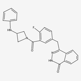 O=C(c1cc(Cc2n[nH]c(=O)c3ccccc23)ccc1F)N1CC(Nc2ccccc2)C1